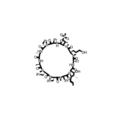 C/C=C/C[C@@H](C)[C@@H](O)[C@H]1C(=O)N[C@@H](CC)C(=O)N(C)[C@H](CCCO)C(=O)N(C)[C@@H]([C@H](C)CS(C)(=O)=O)C(=O)NC(C(C)C)C(=O)N(C)[C@@H](CC(C)C)C(=O)N[C@@H](C)C(=O)N[C@H](C)C(=O)N(C)[C@@H](CC(C)C)C(=O)N(C)[C@@H](CC(C)C)C(=O)N(C)C(C(C)C)C(=O)N1C